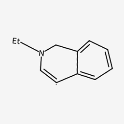 CCN1C=[C]c2ccccc2C1